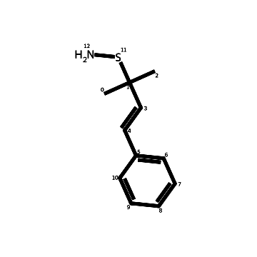 CC(C)(C=Cc1ccccc1)SN